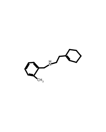 Cc1ccccc1CNCCC1=CCCCC1